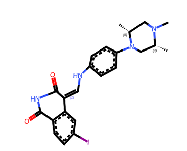 C[C@@H]1CN(c2ccc(N/C=C3\C(=O)NC(=O)c4ccc(I)cc43)cc2)[C@H](C)CN1C